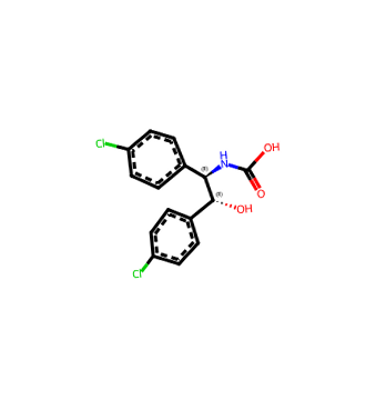 O=C(O)N[C@H](c1ccc(Cl)cc1)[C@H](O)c1ccc(Cl)cc1